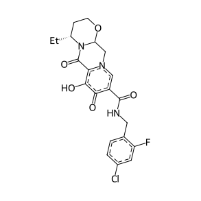 CC[C@@H]1CCOC2Cn3cc(C(=O)NCc4ccc(Cl)cc4F)c(=O)c(O)c3C(=O)N21